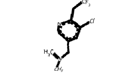 CN(C)Cc1cnc(CC(F)(F)F)c(Cl)c1